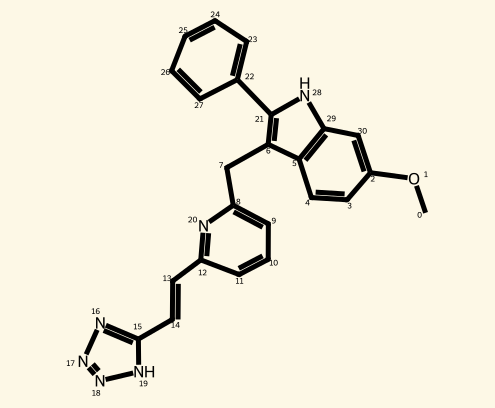 COc1ccc2c(Cc3cccc(/C=C/c4nnn[nH]4)n3)c(-c3ccccc3)[nH]c2c1